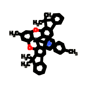 Cc1ccc(N2c3cc4c(c5c3[Si]3(c6ccccc6)c6c(cc(C)cc6Oc6c7c(cc2c63)-c2ccccc2C7(C)C)O5)C(C)(C)c2ccccc2-4)cc1